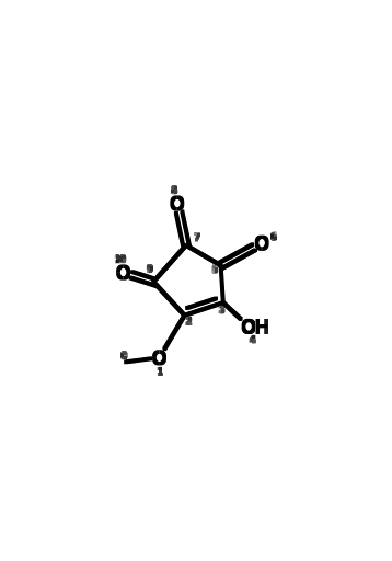 COc1c(O)c(=O)c(=O)c1=O